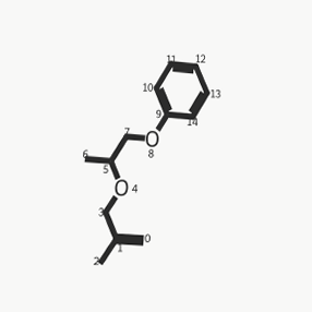 C=C(C)COC(C)COc1ccccc1